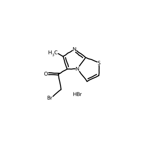 Br.Cc1nc2sccn2c1C(=O)CBr